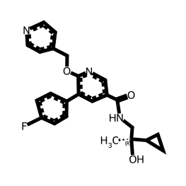 C[C@](O)(CNC(=O)c1cnc(OCc2ccncc2)c(-c2ccc(F)cc2)c1)C1CC1